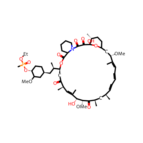 CCOP(C)(=O)O[C@@H]1CC[C@@H](C[C@@H](C)[C@@H]2CC(=O)[C@H](C)/C=C(\C)[C@@H](O)[C@@H](OC)C(=O)[C@H](C)C[C@H](C)/C=C/C=C/C=C(\C)[C@@H](OC)CC3CC[C@@H](C)C(O)(O3)C(=O)C(=O)N3CCCCC3C(=O)O2)CC1OC